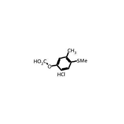 CSc1ccc(OC(=O)O)cc1C.Cl